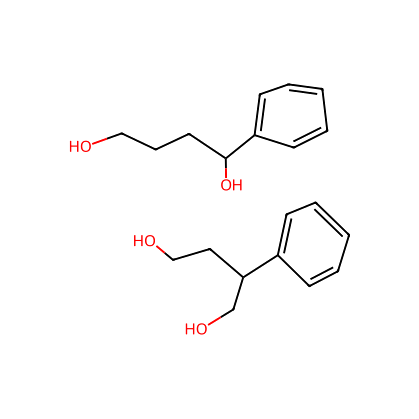 OCCC(CO)c1ccccc1.OCCCC(O)c1ccccc1